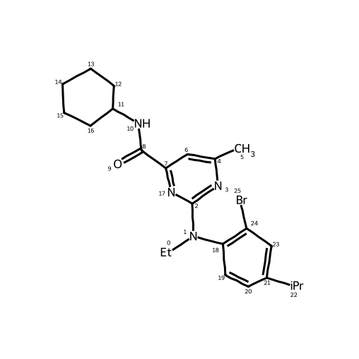 CCN(c1nc(C)cc(C(=O)NC2CCCCC2)n1)c1ccc(C(C)C)cc1Br